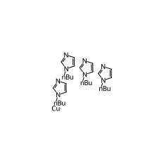 CCCCn1ccnc1.CCCCn1ccnc1.CCCCn1ccnc1.CCCCn1ccnc1.[Cu]